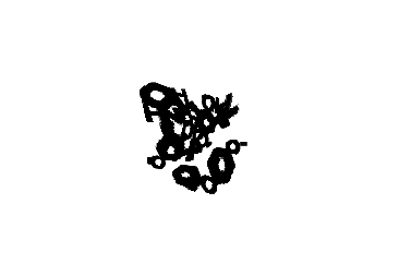 COc1cc(C=[N+]2[Co][N+](=Cc3cc(OC)cc(C(C)(C)C)c3O)[C@@H]3CCCC[C@H]32)c(O)c(C(C)(C)C)c1.[O-]c1ccc(Oc2ccccc2)cc1